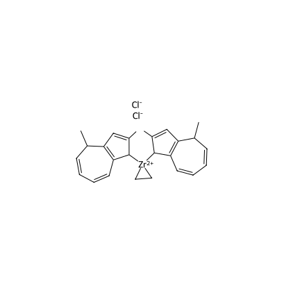 CC1=CC2=C(C=CC=CC2C)[CH]1[Zr+2]1([CH]2C(C)=CC3=C2C=CC=CC3C)[CH2][CH2]1.[Cl-].[Cl-]